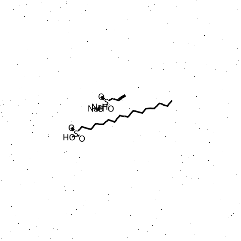 C=CCS(=O)(=O)O.CCCCCCCCCCCCCCCS(=O)(=O)O.[NaH].[NaH]